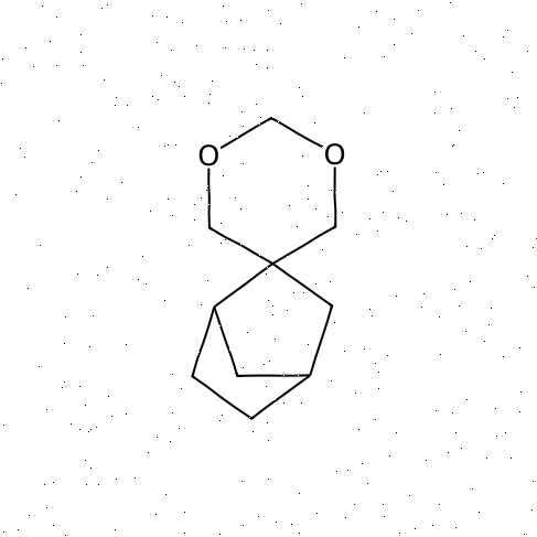 C1OCC2(CO1)CC1CCC2C1